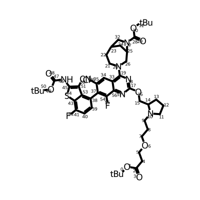 CC(C)(C)OC(=O)CCOCCCN1CCCC1COc1nc(N2CCC3CC(C2)N(C(=O)OC(C)(C)C)C3)c2cc(Cl)c(-c3ccc(F)c4sc(NC(=O)OC(C)(C)C)c(C#N)c34)c(F)c2n1